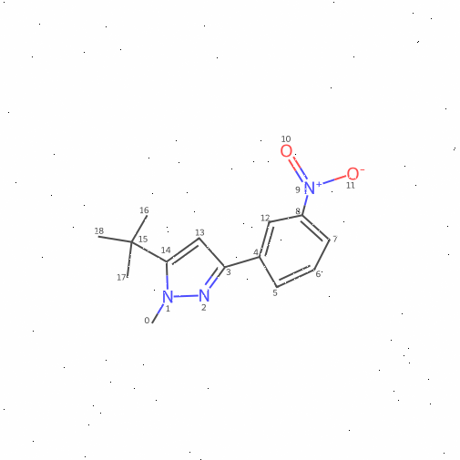 Cn1nc(-c2cccc([N+](=O)[O-])c2)cc1C(C)(C)C